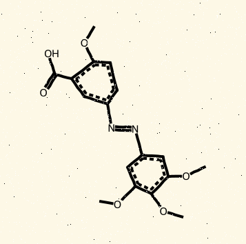 COc1ccc(/N=N/c2cc(OC)c(OC)c(OC)c2)cc1C(=O)O